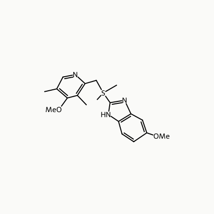 COc1ccc2[nH]c(S(C)(C)Cc3ncc(C)c(OC)c3C)nc2c1